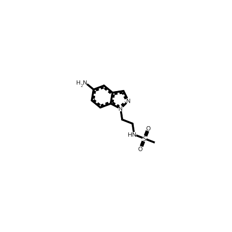 CS(=O)(=O)NCCn1ncc2cc(N)ccc21